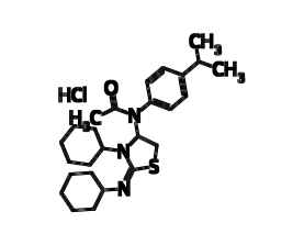 CC(=O)N(c1ccc(C(C)C)cc1)C1CSC(=NC2CCCCC2)N1C1CCCCC1.Cl